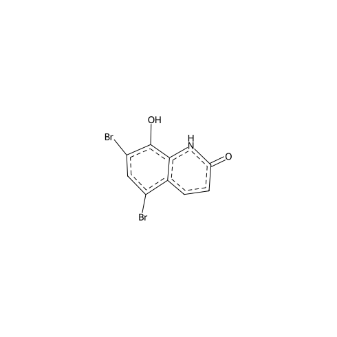 O=c1ccc2c(Br)cc(Br)c(O)c2[nH]1